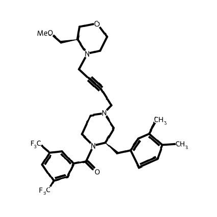 COC[C@H]1COCCN1CC#CCN1CCN(C(=O)c2cc(C(F)(F)F)cc(C(F)(F)F)c2)[C@H](Cc2ccc(C)c(C)c2)C1